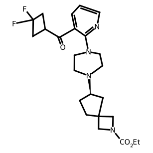 CCOC(=O)N1CC2(CC[C@@H](N3CCN(c4ncccc4C(=O)C4CC(F)(F)C4)CC3)C2)C1